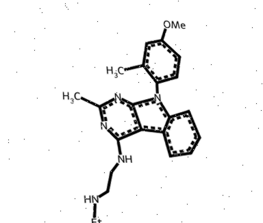 CCNCCNc1nc(C)nc2c1c1ccccc1n2-c1ccc(OC)cc1C